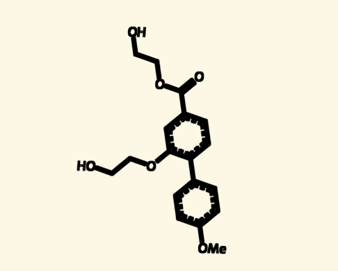 COc1ccc(-c2ccc(C(=O)OCCO)cc2OCCO)cc1